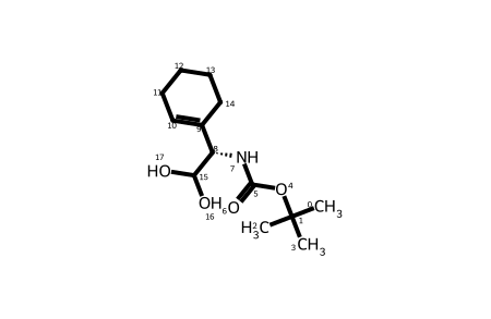 CC(C)(C)OC(=O)N[C@@H](C1=CCCCC1)C(O)O